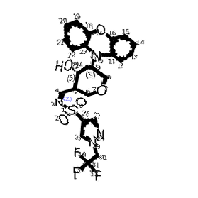 O=S(=O)(/N=C\C1COC[C@H](N2c3ccccc3Oc3ccccc32)[C@H]1O)c1cnn(CC(F)(F)F)c1